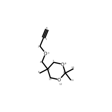 C#CCOCC1(C)COC(C)(C)OC1